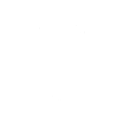 CCCCCC(C)C(C)/C=C/C=C\C=C/C/C=C\CCCCCC(=O)O